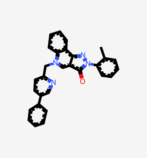 Cc1ccccc1-n1nc2c3ccccc3n(Cc3ccc(-c4ccccc4)cn3)cc-2c1=O